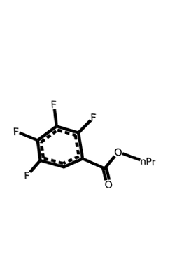 CCCOC(=O)c1cc(F)c(F)c(F)c1F